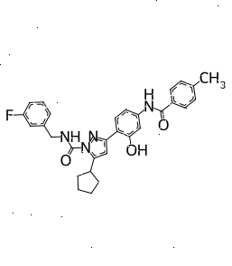 Cc1ccc(C(=O)Nc2ccc(-c3cc(C4CCCC4)n(C(=O)NCc4cccc(F)c4)n3)c(O)c2)cc1